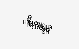 CC[C@H](C(=O)N[C@H](CO)c1cccc(OC)c1)N1Cc2ccc(-c3nc(NC4CCOCC4)ncc3Cl)cc2C1=O